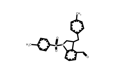 Cc1ccc(CC2CN(S(=O)(=O)c3ccc(C)cc3)c3cccc(C=O)c32)cc1